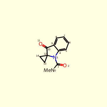 CNC(=O)N1c2ccccc2C(=O)C12CC2